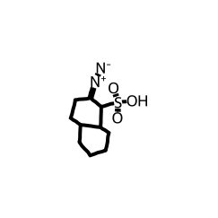 [N-]=[N+]=C1CCC2CCCCC2C1S(=O)(=O)O